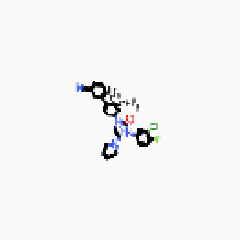 CC1(C)CC(N(CCN2CCCC2)C(=O)Nc2ccc(F)c(Cl)c2)CC=C1c1cccc(C#N)c1